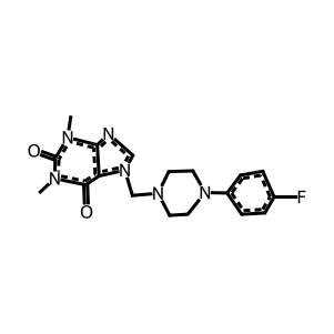 Cn1c(=O)c2c(ncn2CN2CCN(c3ccc(F)cc3)CC2)n(C)c1=O